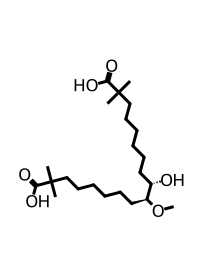 CO[C@@H](CCCCCCC(C)(C)C(=O)O)[C@@H](O)CCCCCCC(C)(C)C(=O)O